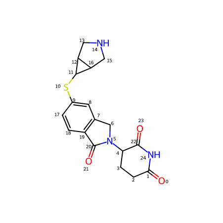 O=C1CCC(N2Cc3cc(SC4C5CNCC54)ccc3C2=O)C(=O)N1